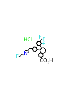 Cl.O=C(O)c1ccc2c(c1)CCCC(c1cccc(C(F)F)c1F)=C2c1ccc(CC2CN(CCCF)C2)cc1